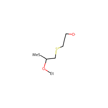 CCOC(CSCC[O])SC